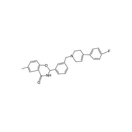 Cc1ccc2c(c1)C(=O)NC(c1cccc(CN3CC=C(c4ccc(F)cc4)CC3)c1)O2